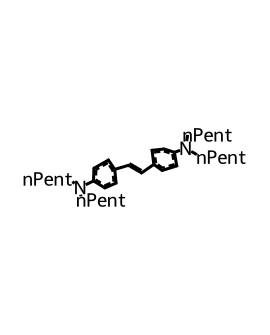 CCCCCN(CCCCC)c1ccc(C=Cc2ccc(N(CCCCC)CCCCC)cc2)cc1